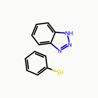 Sc1ccccc1.c1ccc2[nH]nnc2c1